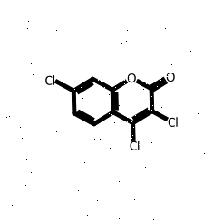 O=c1oc2cc(Cl)ccc2c(Cl)c1Cl